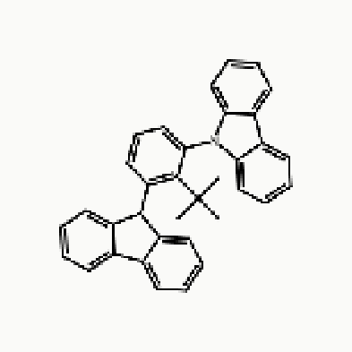 CC(C)(C)c1c(C2c3ccccc3-c3ccccc32)cccc1-n1c2ccccc2c2ccccc21